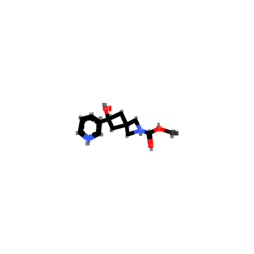 CC(C)(C)OC(=O)N1CC2(C1)CC(O)(c1cccnc1)C2